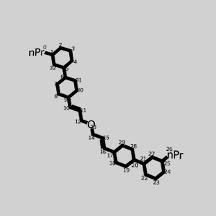 CCCC1CCCC(C2CCC(/C=C/COC/C=C/C3CCC(C4CCCC(CCC)C4)CC3)CC2)C1